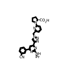 CC(C)Nc1nc(-c2cccc(C#N)c2)cc(-c2cn(Cc3cccc(N4CCC[C@@H]4C(=O)O)n3)nn2)n1